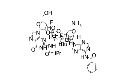 CC(C)C(=O)Nc1nc2c(ncn2[C@@H]2O[C@H](CO)[C@H](F)[C@H]2OP(=O)(O)OC[C@@]23CO[C@@H]([C@H](n4cnc5c(NC(=O)c6ccccc6)ncnc54)O2)[C@@H]3O[Si](C)(C)C(C)(C)C)c(=O)[nH]1.N